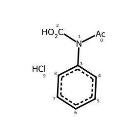 CC(=O)N(C(=O)O)c1ccccc1.Cl